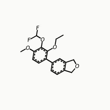 CCOc1c(-c2ccc3c(c2)COC3)ccc(OC)c1OC(F)F